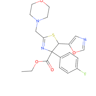 CCOC(=O)C1(c2ccc(F)cc2)N=C(CN2CCOCC2)SC1c1cnco1